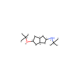 CC(C)(C)NC1CC2CC(OC(C)(C)C)CC2C1